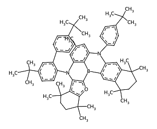 Cc1cc2c3c(c1)N(c1ccc(C(C)(C)C)cc1-c1ccc(C(C)(C)C)cc1)c1c(oc4c1C(C)(C)CCC4(C)C)B3c1cc3c(cc1N2c1ccc(C(C)(C)C)cc1)C(C)(C)CCC3(C)C